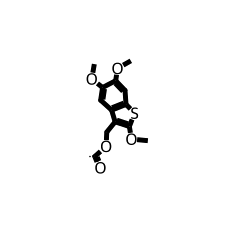 COc1cc2sc(OC)c(CO[C]=O)c2cc1OC